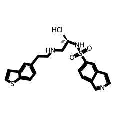 C[C@H](CNCCc1ccc2sccc2c1)NS(=O)(=O)c1ccc2cnccc2c1.Cl